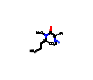 CON(C(=O)[C@@H](N)C(C)C)[C@@H](CCC(=O)O)C(=O)O